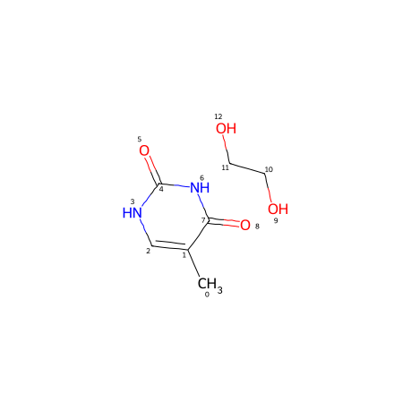 Cc1c[nH]c(=O)[nH]c1=O.OCCO